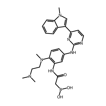 CN(C)CCN(C)c1ccc(Nc2nccc(-c3cn(C)c4ccccc34)n2)cc1NC(=O)CB(O)O